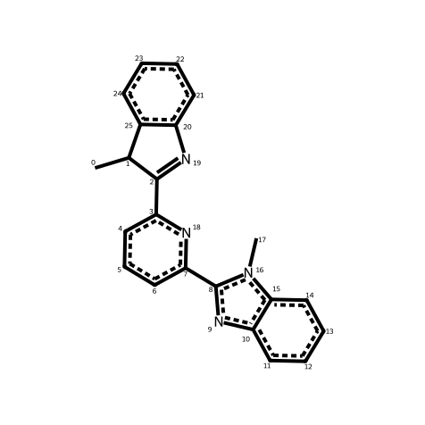 CC1C(c2cccc(-c3nc4ccccc4n3C)n2)=Nc2ccccc21